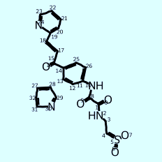 O=C(NCC=S(=O)=O)C(=O)Nc1ccc(C(=O)C=Cc2ccccn2)cc1.c1ccncc1